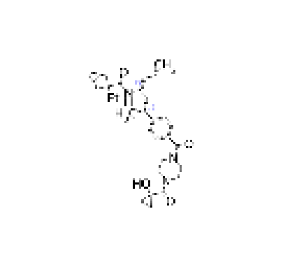 C=C/C=C(\C=C(/C)c1ccc(C(=O)N2CCN(C(=O)C3(O)CC3)CC2)cc1)NC(=O)C1(CC)COC1